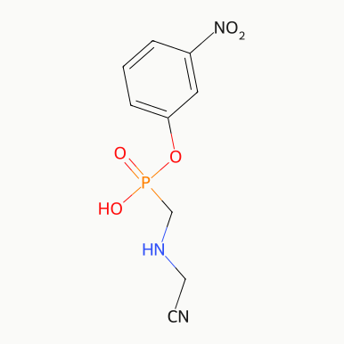 N#CCNCP(=O)(O)Oc1cccc([N+](=O)[O-])c1